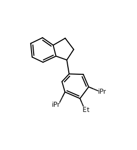 CCc1c(C(C)C)cc(C2CCc3ccccc32)cc1C(C)C